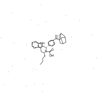 CCCC[C@H]1Cc2c([nH]c3ccccc23)[C@H](c2ccc(NC34CC5CC(CC(C5)C3)C4)cc2)N1C(=O)O